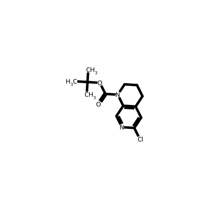 CC(C)(C)OC(=O)N1CCCc2cc(Cl)ncc21